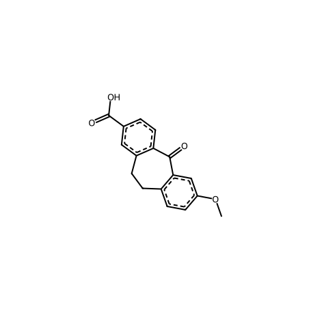 COc1ccc2c(c1)C(=O)c1ccc(C(=O)O)cc1CC2